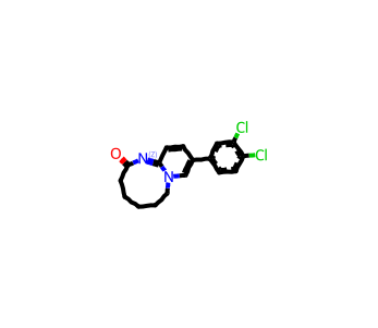 O=C1CCCCCN2C=C(c3ccc(Cl)c(Cl)c3)C=C/C2=N/1